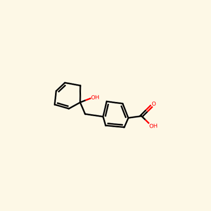 O=C(O)c1ccc(CC2(O)C=CC=CC2)cc1